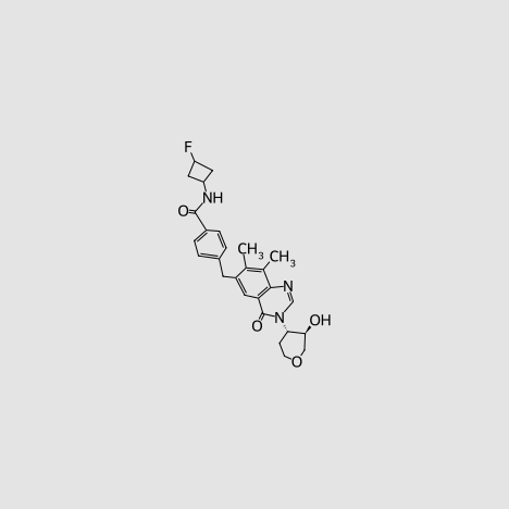 Cc1c(Cc2ccc(C(=O)NC3CC(F)C3)cc2)cc2c(=O)n([C@H]3CCOC[C@@H]3O)cnc2c1C